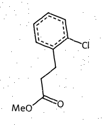 COC(=O)CCc1ccccc1Cl